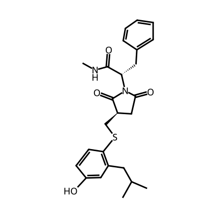 CNC(=O)[C@H](Cc1ccccc1)N1C(=O)C[C@@H](CSc2ccc(O)cc2CC(C)C)C1=O